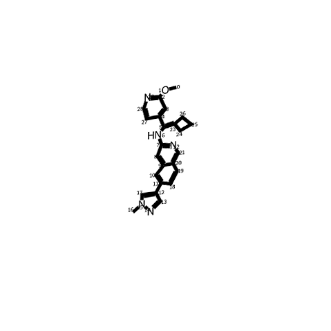 COc1cc(C(Nc2cc3cc(-c4cnn(C)c4)ccc3cn2)=C2CCC2)ccn1